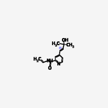 C=CNC(=O)c1cc(/C=C/C(C)(C)O)ccn1